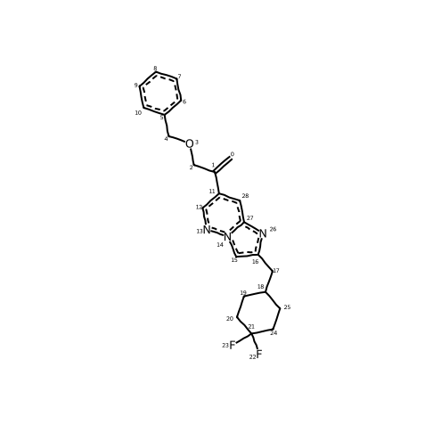 C=C(COCc1ccccc1)c1cnn2cc(CC3CCC(F)(F)CC3)nc2c1